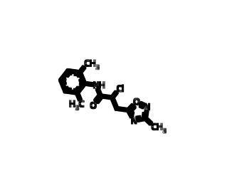 Cc1noc(CC(Cl)C(=O)Nc2c(C)cccc2C)n1